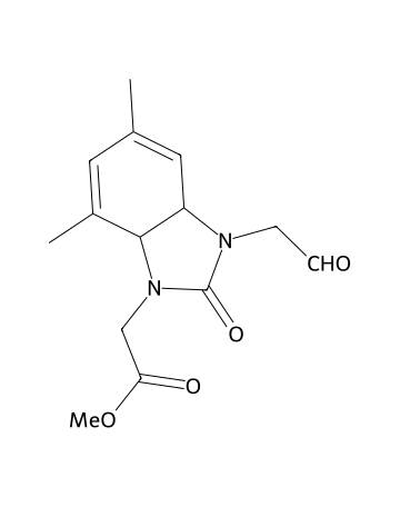 COC(=O)CN1C(=O)N(CC=O)C2C=C(C)C=C(C)C21